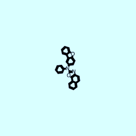 c1ccc(N(c2ccc3oc4ccccc4c3c2)c2nc3ccc4ccccc4c3o2)cc1